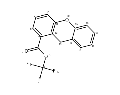 O=C(OC(F)(F)F)c1cccc2c1Cc1ccccc1O2